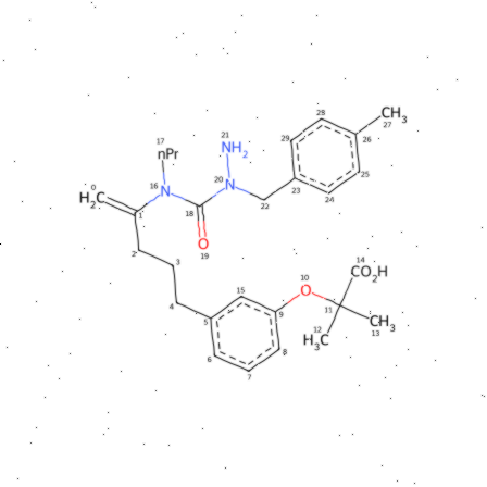 C=C(CCCc1cccc(OC(C)(C)C(=O)O)c1)N(CCC)C(=O)N(N)Cc1ccc(C)cc1